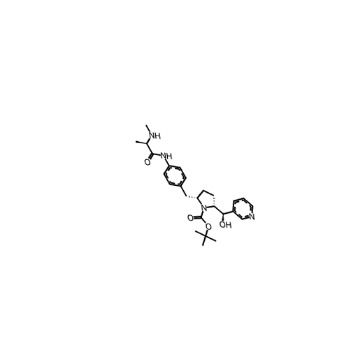 CN[C@H](C)C(=O)Nc1ccc(C[C@@H]2CC[C@H]([C@H](O)c3cccnc3)N2C(=O)OC(C)(C)C)cc1